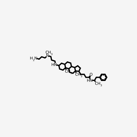 CC(Cc1ccccc1)NC(=O)CCCC1CCC2C3CCC4CC(NCCCN(C)CCCN)CCC4(C)C3CCC12C